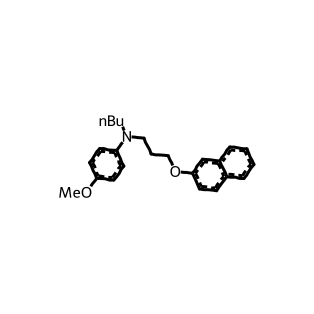 CCCCN(CCCOc1ccc2ccccc2c1)c1ccc(OC)cc1